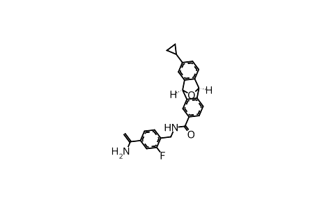 C=C(N)c1ccc(CNC(=O)c2ccc3c(c2)[C@@H]2O[C@H]3c3ccc(C4CC4)cc32)c(F)c1